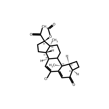 CC(=O)[C@@]1(OC=O)CC[C@H]2[C@@H]3C=C(Cl)C4=CC(=O)[C@@H]5CC[C@@H]5[C@]4(C)C3CC[C@@]21C